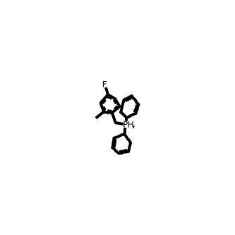 Cc1cc(F)ccc1C[PH](C)(C1C=CC=CC1)C1C=CC=CC1